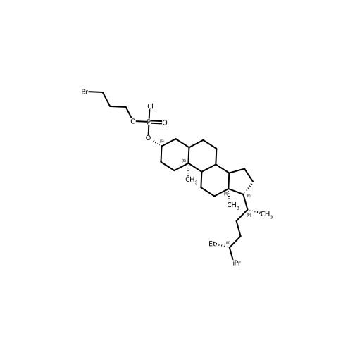 CC[C@H](CC[C@@H](C)[C@H]1CCC2C3CCC4C[C@@H](OP(=O)(Cl)OCCCBr)CC[C@]4(C)C3CC[C@@]21C)C(C)C